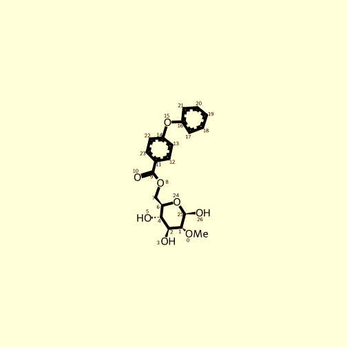 CO[C@@H]1[C@@H](O)[C@H](O)[C@@H](COC(=O)c2ccc(Oc3ccccc3)cc2)O[C@H]1O